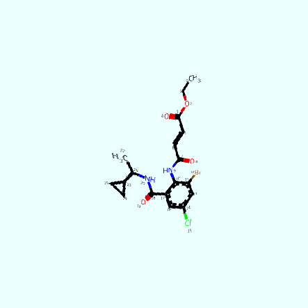 CCOC(=O)C=CC(=O)Nc1c(Br)cc(Cl)cc1C(=O)NC(C)C1CC1